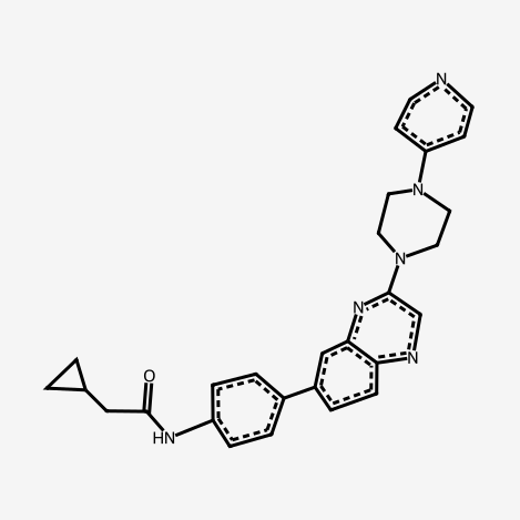 O=C(CC1CC1)Nc1ccc(-c2ccc3ncc(N4CCN(c5ccncc5)CC4)nc3c2)cc1